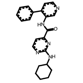 O=C(Nc1cnccc1-c1ccccc1)c1ccnc(NC2CCCCC2)n1